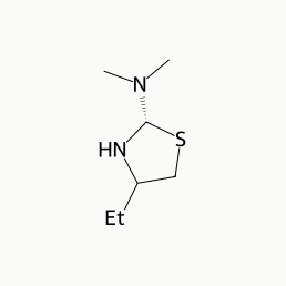 CCC1CS[C@@H](N(C)C)N1